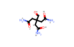 NC(=O)CC([C]=O)(CC(N)=O)CC(N)=O